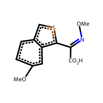 CO/N=C(/C(=O)O)c1scc2ccc(OC)cc12